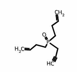 C#CCP(=O)(CCC=C)CCC=C